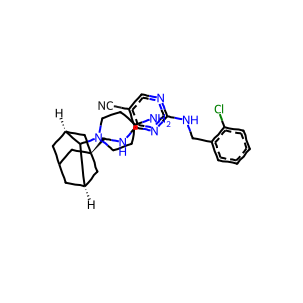 N#Cc1cnc(NCc2ccccc2Cl)nc1NC[C@]12CC3C[C@H](C1)C(N1CCC(N)CC1)[C@@H](C3)C2